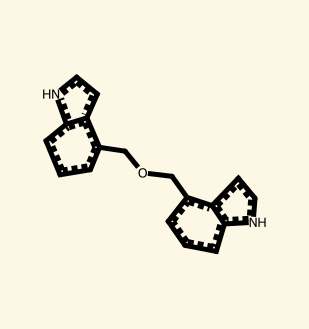 c1cc(COCc2cccc3[nH]ccc23)c2cc[nH]c2c1